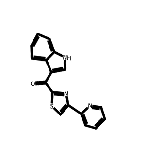 O=C(c1nc(-c2ccccn2)cs1)c1c[nH]c2ccccc12